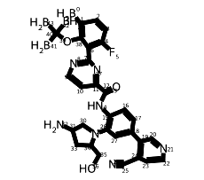 Bc1ccc(F)c(-c2nccc(C(=O)Nc3ccc(-c4cnccc4C#N)cc3N3CC(N)CC3CO)n2)c1OC(B)(B)B